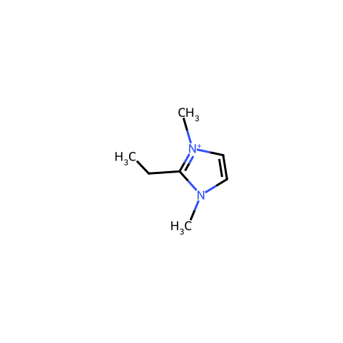 CCc1n(C)cc[n+]1C